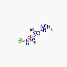 CC(=O)c1nn(CC(=O)N2C[C@H](F)C[C@H]2C(=O)NC[C@@H]2CC2(Cl)Cl)c2ccc(-c3cnc(C)nc3)cc12